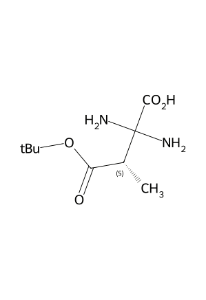 C[C@H](C(=O)OC(C)(C)C)C(N)(N)C(=O)O